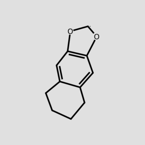 [CH]1Oc2cc3c(cc2O1)CCCC3